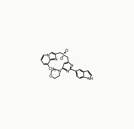 Cc1cccn2cc(CS(=O)(=O)Cc3cc(N4CCOCC4)nc(-c4ccc5[nH]ccc5c4)n3)nc12